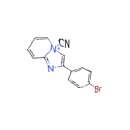 N#C[N+]12C=CC=CC1=NC(c1ccc(Br)cc1)=C2